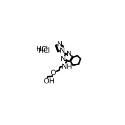 Cl.Cl.OCCOCCNc1nc(-n2ccnc2)nc2c1CCCC2